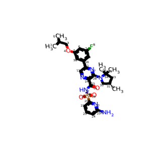 CC(C)COc1cc(F)cc(-c2cnc(C(=O)NS(=O)(=O)c3cccc(N)n3)c(N3C[C@@H](C)CC3(C)C)n2)c1